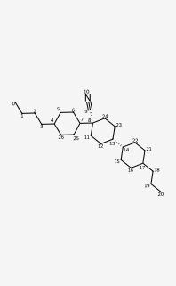 CCCCC1CCC([C@]2(C#N)CC[C@@H](C3CCC(CCC)CC3)CC2)CC1